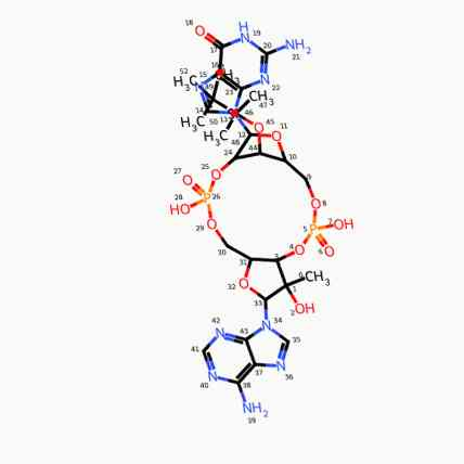 CC1(O)C2OP(=O)(O)OCC3OC(n4cnc5c(=O)[nH]c(N)nc54)C(OP(=O)(O)OCC2OC1n1cnc2c(N)ncnc21)C3O[Si](C)(C)C(C)(C)C